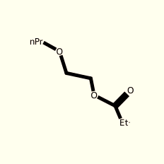 C[CH]C(=O)OCCOCCC